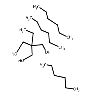 CCC(CO)(CO)CO.CCCCCC.CCCCCC.CCCCCC